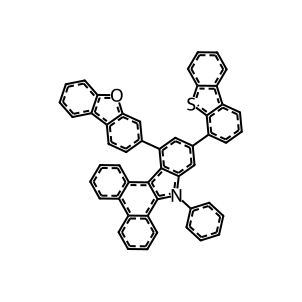 c1ccc(-n2c3cc(-c4cccc5c4sc4ccccc45)cc(-c4ccc5c(c4)oc4ccccc45)c3c3c4ccccc4c4ccccc4c32)cc1